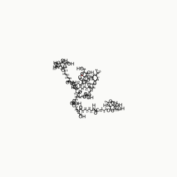 CC(=O)NC1C(OCCCCCC(=O)NCCCCCC(=O)N(CCO)CCOP(=O)(O)OCCN(CCOP(=O)(O)OCCN(CCOC2CCCC(C(C)C)CC2)C(=O)CCCCCNC(=O)CCCCCOC2OC(CO)C(O)C(O)C2NC(C)=O)C(=O)CCCCCNC(=O)CCCCCOC2OC(CO)C(O)C(O)C2NC(C)=O)OC(CO)C(O)C1O